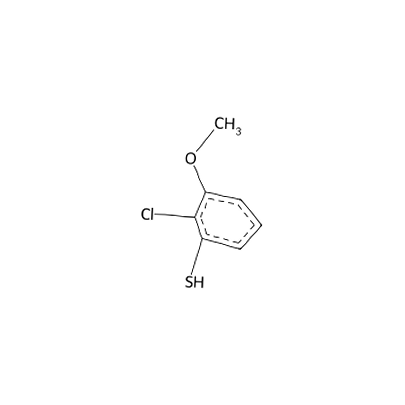 COc1cccc(S)c1Cl